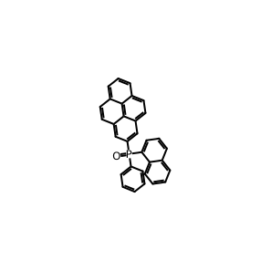 O=P(c1ccccc1)(c1cc2ccc3cccc4ccc(c1)c2c34)c1cccc2ccccc12